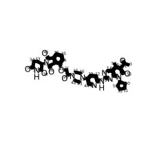 CC(=O)c1c(C)c2cnc(Nc3ccc(N4CCN(C(=O)COc5cccc6c5C(=O)N([C@@H]5CCC(=O)NC5=O)C6=O)CC4)cn3)nc2n(C2CCCC2)c1=O